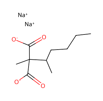 CCCCC(C)C(C)(C(=O)[O-])C(=O)[O-].[Na+].[Na+]